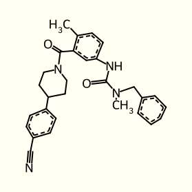 Cc1ccc(NC(=O)N(C)Cc2ccccc2)cc1C(=O)N1CCC(c2ccc(C#N)cc2)CC1